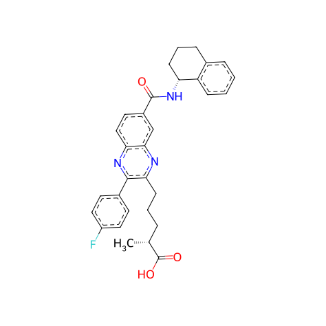 C[C@H](CCCc1nc2cc(C(=O)N[C@@H]3CCCc4ccccc43)ccc2nc1-c1ccc(F)cc1)C(=O)O